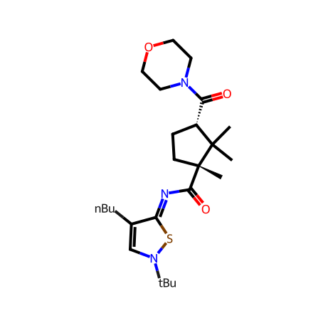 CCCCc1cn(C(C)(C)C)sc1=NC(=O)[C@]1(C)CC[C@H](C(=O)N2CCOCC2)C1(C)C